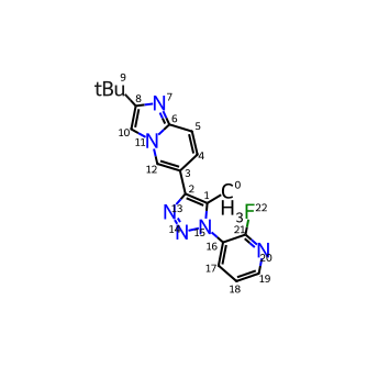 Cc1c(-c2ccc3nc(C(C)(C)C)cn3c2)nnn1-c1cccnc1F